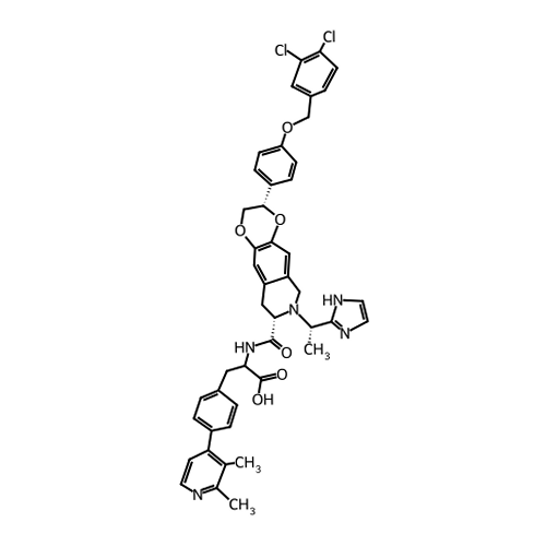 Cc1nccc(-c2ccc(CC(NC(=O)[C@@H]3Cc4cc5c(cc4CN3[C@@H](C)c3ncc[nH]3)O[C@@H](c3ccc(OCc4ccc(Cl)c(Cl)c4)cc3)CO5)C(=O)O)cc2)c1C